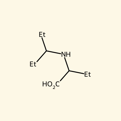 CCC(CC)NC(CC)C(=O)O